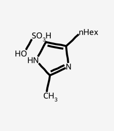 CCCCCCc1c[nH]c(C)n1.O=S(=O)(O)O